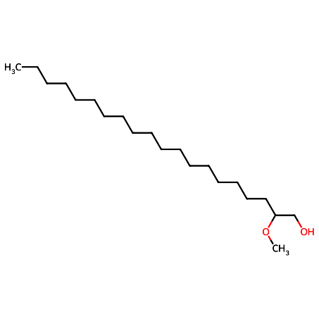 CCCCCCCCCCCCCCCCCCC(CO)OC